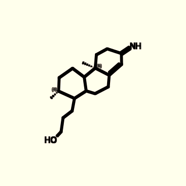 C[C@@H]1CCC2C(CCC3=CC(=N)CC[C@@]32C)C1CCCO